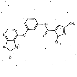 Cc1cc(C(=O)Nc2cccc(Oc3ccnc4[nH]c(=O)[nH]c34)c2)n(C)n1